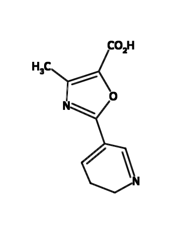 Cc1nc(C2=CCCN=C2)oc1C(=O)O